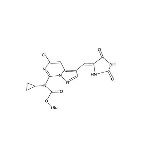 CC(C)(C)OC(=O)N(c1nc(Cl)cc2c(/C=C3\NC(=O)NC3=O)cnn12)C1CC1